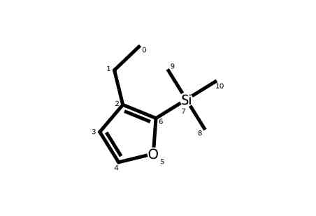 CCc1ccoc1[Si](C)(C)C